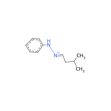 CC(C)C/C=N/Nc1ccccc1